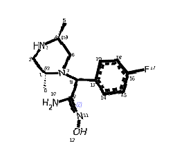 C[C@@H]1CN[C@@H](C)CN1C(/C(N)=N/O)c1ccc(F)cc1